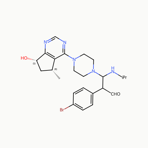 CC(C)NC(C(C=O)c1ccc(Br)cc1)N1CCN(c2ncnc3c2[C@H](C)C[C@@H]3O)CC1